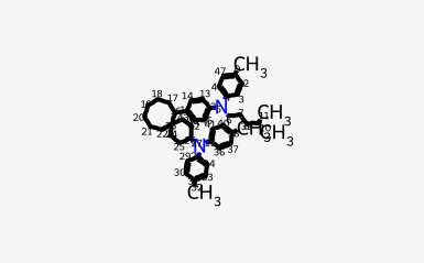 Cc1ccc(N(CCCC(C)C)c2ccc(C3CCCCCCC34CCC(N(c3ccc(C)cc3)c3ccc(C)cc3)CC4)cc2)cc1